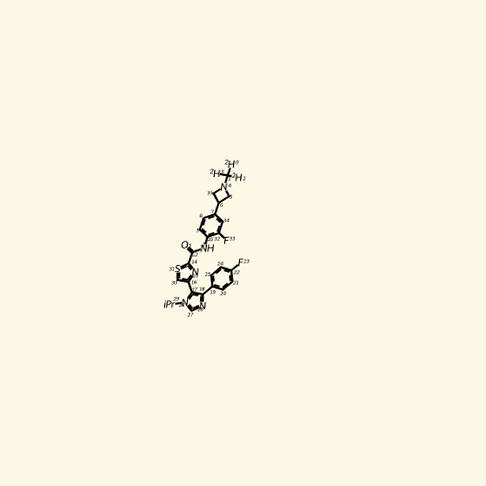 [2H]C([2H])([2H])N1CC(c2ccc(NC(=O)c3nc(-c4c(-c5ccc(F)cc5)ncn4C(C)C)cs3)c(F)c2)C1